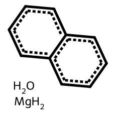 O.[MgH2].c1ccc2ccccc2c1